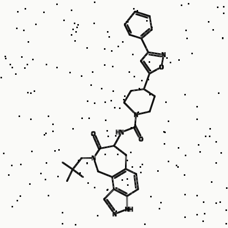 CC(C)(C)CN1Cc2c(ccc3[nH]ncc23)CC(NC(=O)N2CCC(c3cc(-c4ccccc4)no3)CC2)C1=O